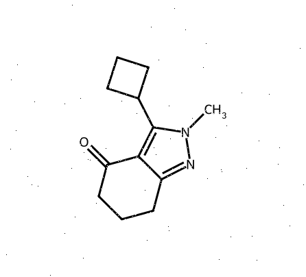 Cn1nc2c(c1C1CCC1)C(=O)CCC2